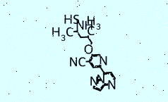 CC(COc1cnc(-c2ccnc3ccnn23)cc1C#N)CC(C)NS